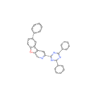 c1ccc(-c2ccc3oc4cnc(-c5nc(-c6ccccc6)nc(-c6ccccc6)n5)cc4c3c2)cc1